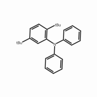 CC(C)(C)c1ccc(C(C)(C)C)c(N(c2ccccc2)c2ccccc2)c1